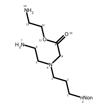 CCCCCCCCCCCCN(CCN)CC(=O)OCCN